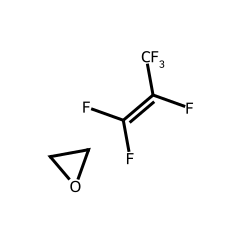 C1CO1.FC(F)=C(F)C(F)(F)F